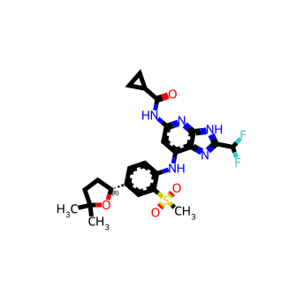 CC1(C)CC[C@H](c2ccc(Nc3cc(NC(=O)C4CC4)nc4[nH]c(C(F)F)nc34)c(S(C)(=O)=O)c2)O1